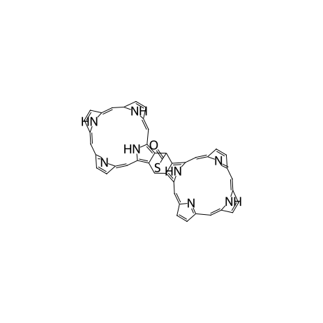 O=C1SC2c3c4[nH]c(c3C1c1c2c2cc3nc(cc5ccc(cc6nc(cc1[nH]2)C=C6)[nH]5)C=C3)/C=C1/C=CC(/C=c2/cc/c([nH]2)=C/C2=NC(=C\4)/C=C2)N1